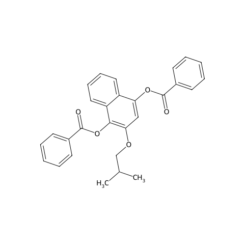 CC(C)COc1cc(OC(=O)c2ccccc2)c2ccccc2c1OC(=O)c1ccccc1